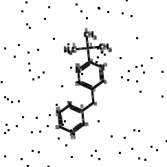 CC(C)(C)c1ncc(Cc2cncnc2)cn1